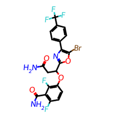 NC(=O)CC(Oc1ccc(F)c(C(N)=O)c1F)c1nc(-c2ccc(C(F)(F)F)cc2)c(Br)o1